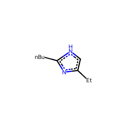 [CH2]Cc1c[nH]c(CCCC)n1